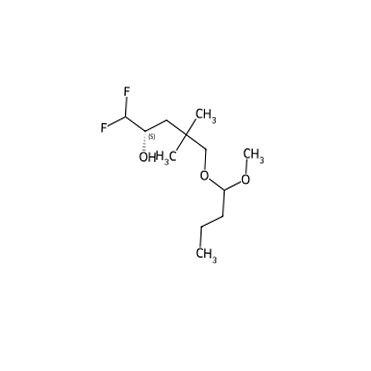 CCCC(OC)OCC(C)(C)C[C@H](O)C(F)F